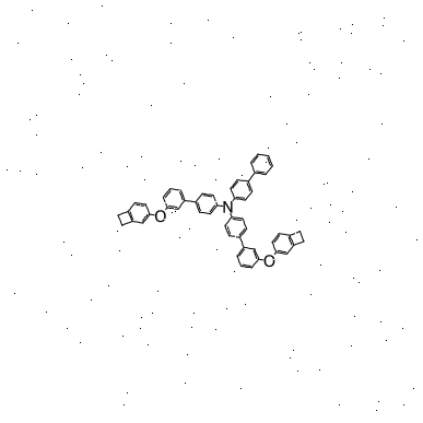 c1ccc(-c2ccc(N(c3ccc(-c4cccc(Oc5ccc6c(c5)CC6)c4)cc3)c3ccc(-c4cccc(Oc5ccc6c(c5)CC6)c4)cc3)cc2)cc1